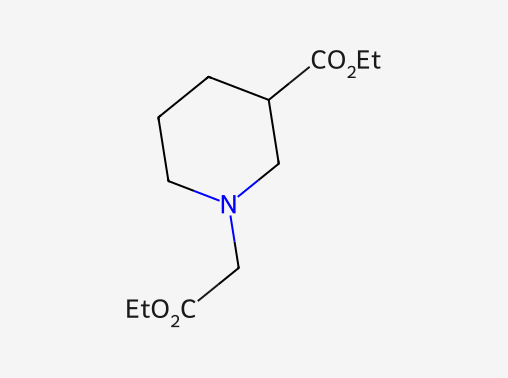 CCOC(=O)CN1CCCC(C(=O)OCC)C1